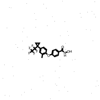 Cc1cc(C2(C(F)(F)C(F)(F)F)CC2)ccc1Oc1ccc(C(=O)NO)cc1